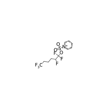 O=S(=O)(OC(F)(F)C(F)CCCC(F)(F)F)[n+]1ccccc1